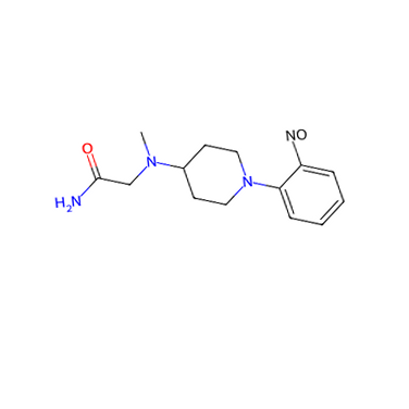 CN(CC(N)=O)C1CCN(c2ccccc2N=O)CC1